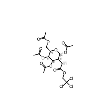 CC(=O)OC[C@H]1O[C@H](OC(C)=O)[C@@H](NC(=O)OCC(Cl)(Cl)Cl)[C@@H](OC(C)=O)[C@H]1OC(C)=O